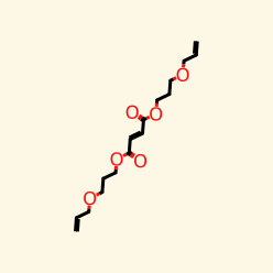 C=CCOCCCOC(=O)/C=C/C(=O)OCCCOCC=C